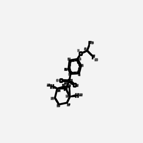 O=S(=O)(c1ccc(OC(F)F)cc1)N1[C@@H]2CCC[C@H]1CC2